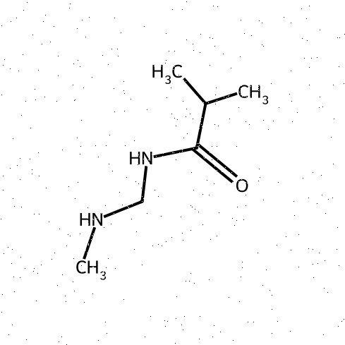 CNCNC(=O)C(C)C